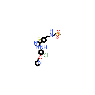 CS(=O)(=O)CCNCCc1ccc2c(c1)sc1ncnc(Nc3ccc(OCc4ccccn4)c(Cl)c3)c12